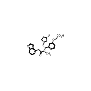 CN(C(=O)Cc1cccc2occc12)[C@H](CN1CC[C@H](F)C1)c1cccc(OCC(=O)O)c1